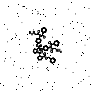 NCC(=O)N(C(=O)c1ccccc1)c1ccc(OP(=O)(Oc2ccc(N(C(=O)CN)C(=O)c3ccccc3)cc2)[C@@H]2CCCN2C(=O)[C@@H]2CCCN2C(=O)OCc2ccccc2)cc1